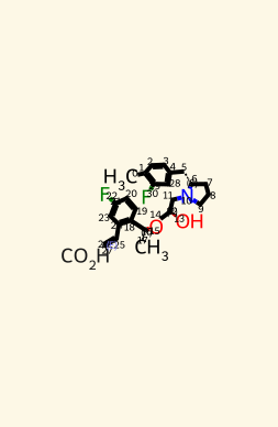 Cc1ccc(C[C@@H]2CCCN2C[C@@H](O)CO[C@H](C)c2ccc(F)cc2/C=C/C(=O)O)cc1F